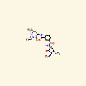 CC(C)CNC(=O)[C@H](CC(C)N)NC(=O)c1cccc(C(=O)N[C@H]2CC(C)N(CC(C)C)C2=O)c1